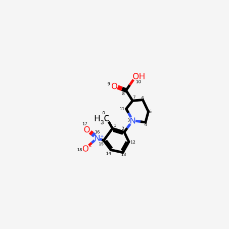 Cc1c(N2CCCC(C(=O)O)C2)cccc1[N+](=O)[O-]